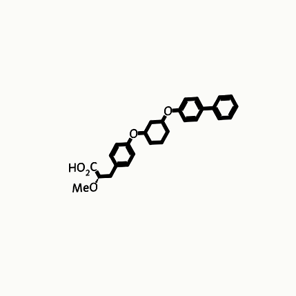 CO[C@@H](Cc1ccc(OC2CCCC(Oc3ccc(-c4ccccc4)cc3)C2)cc1)C(=O)O